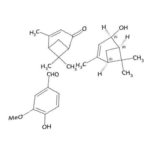 CC1=CC(=O)C2CC1C2(C)C.CC1=C[C@@H](O)[C@@H]2C[C@H]1C2(C)C.COc1cc(C=O)ccc1O